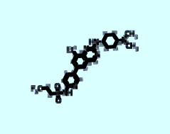 CCc1cc(-c2ccc(NS(=O)(=O)CCC(F)(F)F)nc2)cc2cnc(N[C@H]3CC[C@H](N(C)C)CC3)nc12